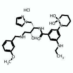 CCNc1cc(C(=O)N[C@@H](Cn2cccn2)[C@H](O)CNCc2cccc(OC)c2)cc(N2CCCCS2(O)O)c1.Cl